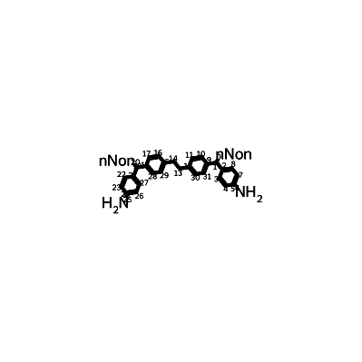 CCCCCCCCCC(c1ccc(N)cc1)c1ccc(CCc2ccc(C(CCCCCCCCC)c3ccc(N)cc3)cc2)cc1